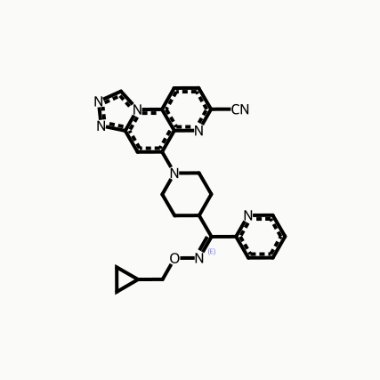 N#Cc1ccc2c(n1)c(N1CCC(/C(=N\OCC3CC3)c3ccccn3)CC1)cc1nncn12